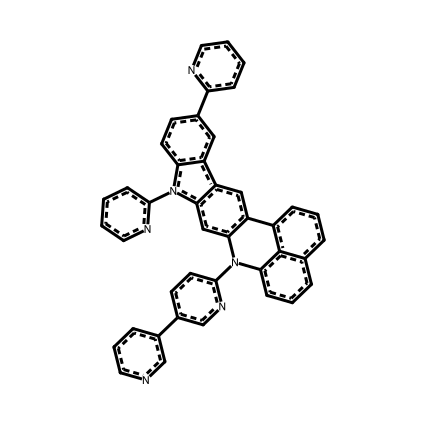 c1ccc(-c2ccc3c(c2)c2cc4c(cc2n3-c2ccccn2)N(c2ccc(-c3cccnc3)cn2)c2cccc3cccc-4c23)nc1